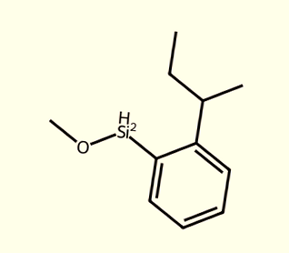 CCC(C)c1ccccc1[SiH2]OC